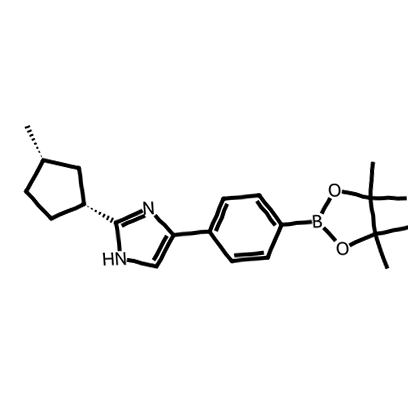 C[C@H]1CC[C@@H](c2nc(-c3ccc(B4OC(C)(C)C(C)(C)O4)cc3)c[nH]2)C1